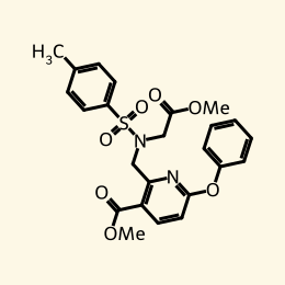 COC(=O)CN(Cc1nc(Oc2ccccc2)ccc1C(=O)OC)S(=O)(=O)c1ccc(C)cc1